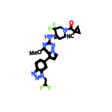 COc1nc(N[C@@H]2CCN(C(=O)C3(C#N)CC3)CC2(F)F)nn2ccc(-c3ccc4nnn(CC(F)F)c4c3)c12